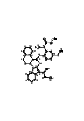 CC(C)(C)OC(=O)C(N)c1cc(CO)ccc1CN(Cc1nc2ccccc2n1C(=O)OC(C)(C)C)C1CCCc2cccnc21